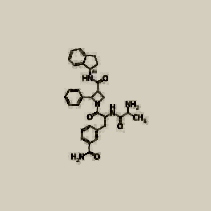 CC(N)C(=O)NC(Cc1cccc(C(N)=O)c1)C(=O)N1CC(C(=O)N[C@@H]2CCc3ccccc32)C1c1ccccc1